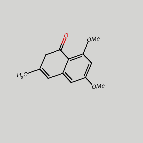 COc1cc2c(c(OC)c1)C(=O)CC(C)=C2